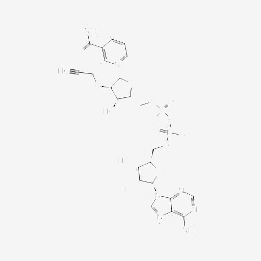 C#CCO[C@@H]1[C@H](O)[C@@H](COP(=O)([O-])OP(=O)(O)OC[C@H]2O[C@@H](n3cnc4c(N)ncnc43)[C@H](O)[C@@H]2O)O[C@H]1[n+]1cccc(C(N)=O)c1